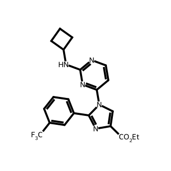 CCOC(=O)c1cn(-c2ccnc(NC3CCC3)n2)c(-c2cccc(C(F)(F)F)c2)n1